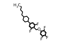 CCCCCC1CCC(c2cc(F)c(COc3cc(F)c(F)cc3F)c(F)c2)CC1